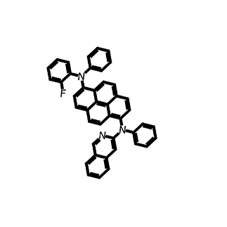 Fc1ccccc1N(c1ccccc1)c1ccc2ccc3c(N(c4ccccc4)c4cc5ccccc5cn4)ccc4ccc1c2c43